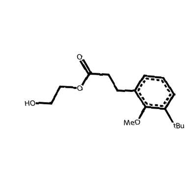 COc1c(CCC(=O)OCCO)cccc1C(C)(C)C